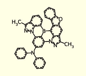 Cc1nn2c3c(cccc13)B1c3c-2cc(N(c2ccccc2)c2ccccc2)cc3-n2nc(C)c3cc4oc5ccccc5c4c1c32